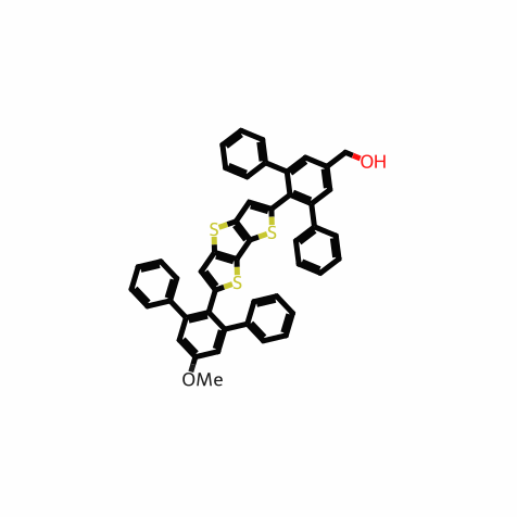 COc1cc(-c2ccccc2)c(-c2cc3sc4cc(-c5c(-c6ccccc6)cc(CO)cc5-c5ccccc5)sc4c3s2)c(-c2ccccc2)c1